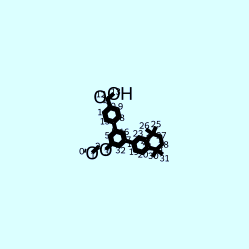 COCOc1cc(-c2ccc(C(=O)O)cc2)cc(-c2ccc3c(c2)C(C)(C)CCC3(C)C)c1